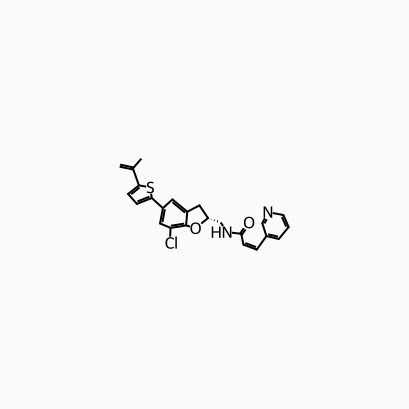 C=C(C)c1ccc(-c2cc(Cl)c3c(c2)C[C@H](CNC(=O)/C=C\c2cccnc2)O3)s1